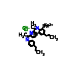 C=CCc1ccc(/N=C(/C)c2cccc(/C(C)=N\c3c(C(C)C)cc(CC=C)cc3C(C)C)n2)cc1.[Cl-].[Cl-].[Fe+2]